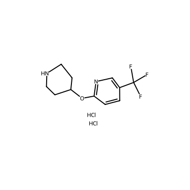 Cl.Cl.FC(F)(F)c1ccc(OC2CCNCC2)nc1